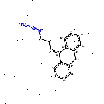 [N-]=[N+]=NCCC=C1c2ccccc2Cc2ccccc21